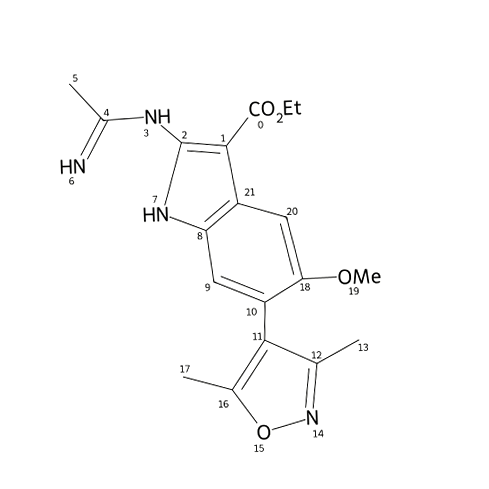 CCOC(=O)c1c(NC(C)=N)[nH]c2cc(-c3c(C)noc3C)c(OC)cc12